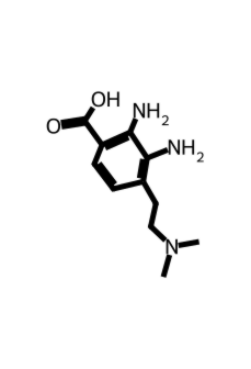 CN(C)CCc1ccc(C(=O)O)c(N)c1N